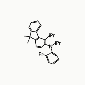 CC(C)c1ccccc1N(c1ccc2c(c1C(C)C)-c1ccccc1C2(C)C)C(C)C